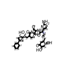 Nc1nc(/C(=N/OCc2cc(=O)c(O)cn2O)C(=O)N[C@@H]2C(=O)N3C(C(=O)O)=C(CSc4nc(-c5ccccc5)cs4)CS[C@H]23)cs1